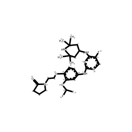 CC1(C)CC(Nc2nc(Nc3ccc(OCCN4CCCC4=O)c(OC(F)F)c3)ncc2F)CC(C)(C)N1